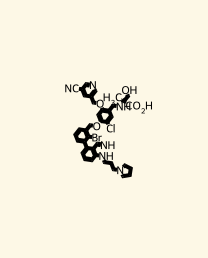 C[C@@](CO)(NCc1cc(Cl)c(OCc2cccc(-c3cccc(NCCCN4CCCC4)c3C=N)c2Br)cc1OCc1cncc(C#N)c1)C(=O)O